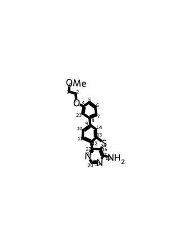 COCCOc1cccc(-c2ccc3c(c2)sc2c(N)ncnc23)c1